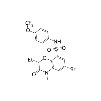 CCC1Oc2c(cc(Br)cc2S(=O)(=O)Nc2ccc(OC(F)(F)F)cc2)N(C)C1=O